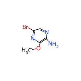 COc1nc(Br)cnc1N